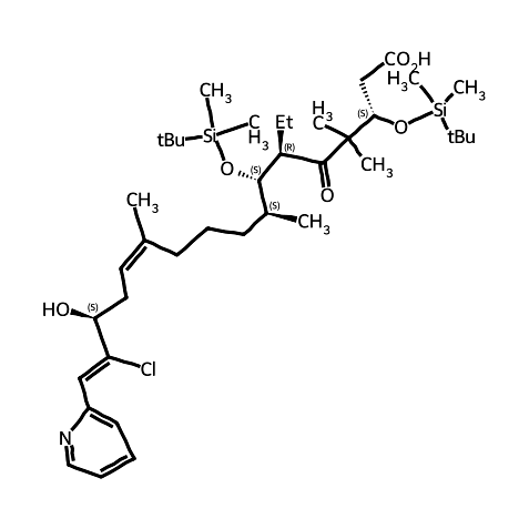 CC[C@@H](C(=O)C(C)(C)[C@H](CC(=O)O)O[Si](C)(C)C(C)(C)C)[C@@H](O[Si](C)(C)C(C)(C)C)[C@@H](C)CCCC(C)=CC[C@H](O)C(Cl)=Cc1ccccn1